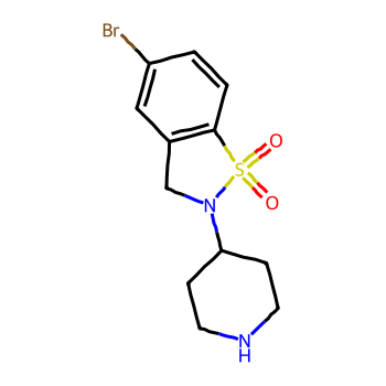 O=S1(=O)c2ccc(Br)cc2CN1C1CCNCC1